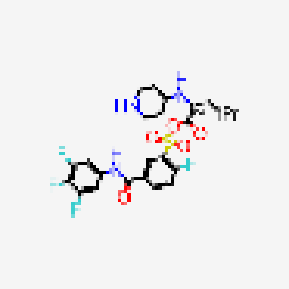 CC(C)C[C@H](NC1CCNCC1)C(=O)OS(=O)(=O)c1cc(C(=O)Nc2cc(F)c(F)c(F)c2)ccc1F